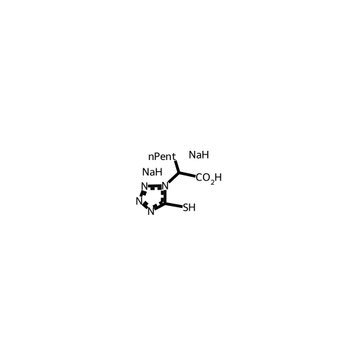 CCCCCC(C(=O)O)n1nnnc1S.[NaH].[NaH]